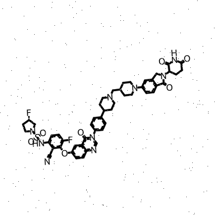 N#Cc1c(NS(=O)(=O)N2CC[C@@H](F)C2)ccc(F)c1Oc1ccc2ncn(-c3ccc(C4CCN(CC5CCN(c6ccc7c(c6)CN(C6CCC(=O)NC6=O)C7=O)CC5)CC4)cc3)c(=O)c2c1